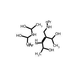 CC(O)NC(C)O.CCCNCC(=C(NCCC)C(C)O)C(C)O